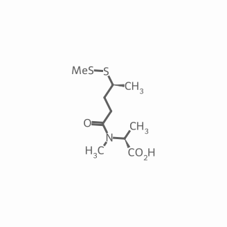 CSS[C@@H](C)CCC(=O)N(C)[C@@H](C)C(=O)O